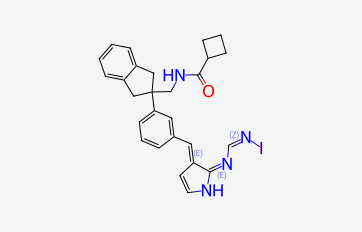 O=C(NCC1(c2cccc(\C=C3/C=CN/C3=N/C=N\I)c2)Cc2ccccc2C1)C1CCC1